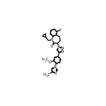 COc1cc(-c2cn(C3CCc4c(F)cccc4N(CC4CC4)C3=O)nn2)ccc1-n1cnc(C)c1